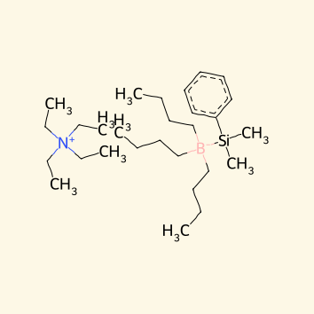 CCCC[B-](CCCC)(CCCC)[Si](C)(C)c1ccccc1.CC[N+](CC)(CC)CC